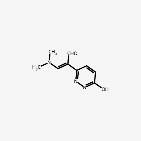 CN(C)C=C(C=O)c1ccc(O)nn1